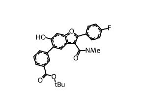 CNC(=O)c1c(-c2ccc(F)cc2)oc2cc(O)c(-c3cccc(C(=O)OC(C)(C)C)c3)cc12